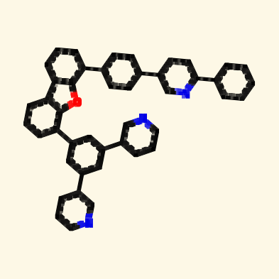 c1ccc(-c2ccc(-c3ccc(-c4cccc5c4oc4c(-c6cc(-c7cccnc7)cc(-c7cccnc7)c6)cccc45)cc3)cn2)cc1